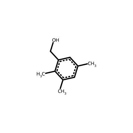 Cc1cc(C)c(C)c(CO)c1